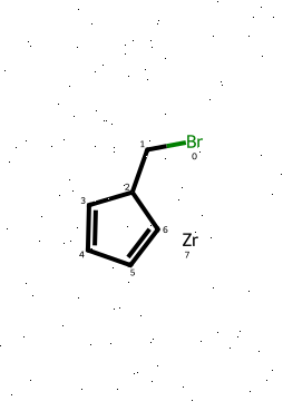 BrCC1C=CC=C1.[Zr]